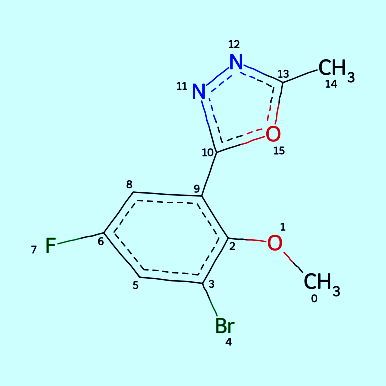 COc1c(Br)cc(F)cc1-c1nnc(C)o1